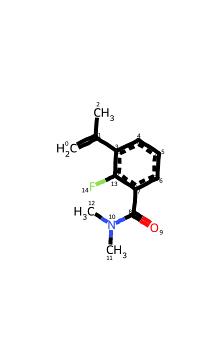 C=C(C)c1cccc(C(=O)N(C)C)c1F